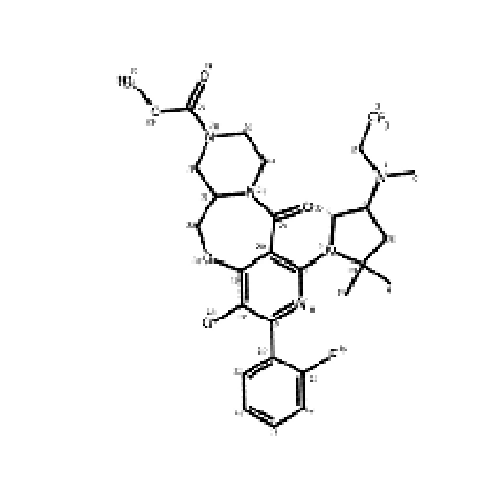 CN(CC(F)(F)F)C1CN(c2nc(-c3ccccc3F)c(Cl)c3c2C(=O)N2CCN(C(=O)OC(C)(C)C)CC2CO3)C(C)(C)C1